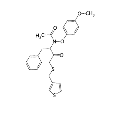 COc1ccc(ON(C(C)=O)[C@@H](Cc2ccccc2)C(=O)CSCc2ccsc2)cc1